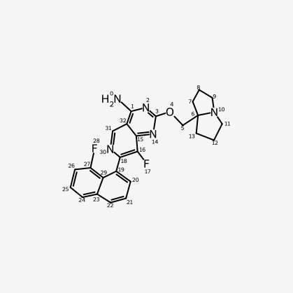 Nc1nc(OCC23CCCN2CCC3)nc2c(F)c(-c3cccc4cccc(F)c34)ncc12